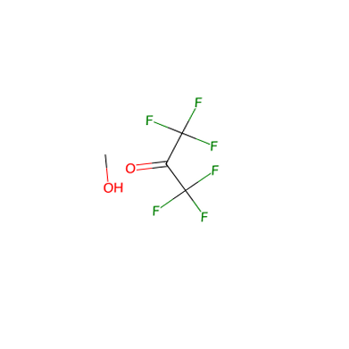 CO.O=C(C(F)(F)F)C(F)(F)F